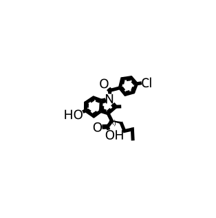 CCCC[C@@H](C(=O)O)c1c(C)n(C(=O)c2ccc(Cl)cc2)c2ccc(O)cc12